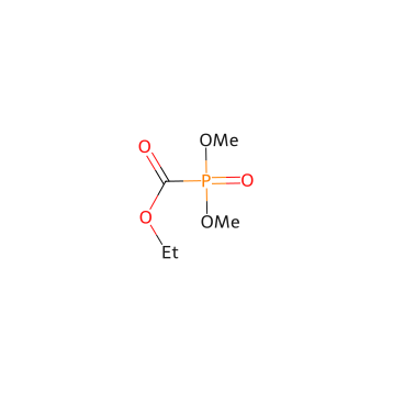 CCOC(=O)P(=O)(OC)OC